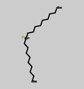 CCCCCCCCCCCCCCCCC[CH2][Sn+2][CH2]CCCCCCCCCCCCCCCCC.[S-2]